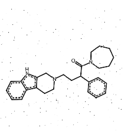 O=C(C(CCN1CCc2c([nH]c3ccccc23)C1)c1ccccc1)N1CCCCCC1